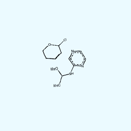 COC(Nc1cnccn1)OC.ClC1CCCCO1